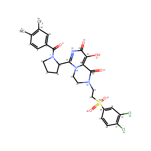 N#Cc1ccc(C(=O)N2CCCC2c2nc(=O)c(O)c3n2CCN(CCS(=O)(=O)c2ccc(Cl)c(Cl)c2)C3=O)cc1C(F)(F)F